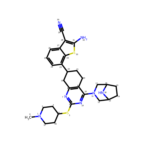 CN1CCC(Sc2nc3c(c(N4CC5CCC(C4)N5)n2)CCC(c2cccc4c(C#N)c(N)sc24)C3)CC1